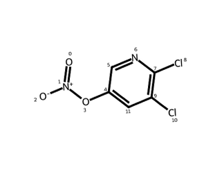 O=[N+]([O-])Oc1cnc(Cl)c(Cl)c1